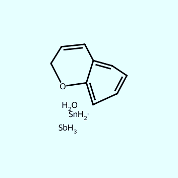 C1=Cc2ccccc2OC1.O.[SbH3].[SnH2]